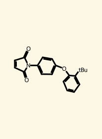 CC(C)(C)c1ccccc1Oc1ccc(N2C(=O)C=CC2=O)cc1